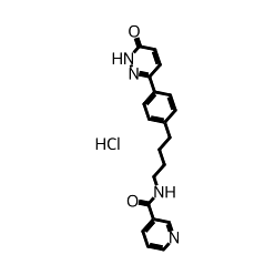 Cl.O=C(NCCCCc1ccc(-c2ccc(=O)[nH]n2)cc1)c1cccnc1